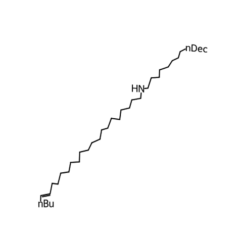 CCCCC=CCCCCCCCCCCCCCCCCCCNCCCCCCCCCCCCCCCCCC